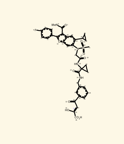 CNC(=O)c1c(-c2ccc(F)cc2)oc2cc(N(CC(=O)NC3(C(=O)NCc4cccc(C(=O)/C=C(\O)C(=O)O)c4)CC3)S(C)(=O)=O)c(C3CC3)cc12